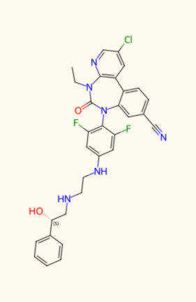 CCN1C(=O)N(c2c(F)cc(NCCNC[C@@H](O)c3ccccc3)cc2F)c2cc(C#N)ccc2-c2cc(Cl)cnc21